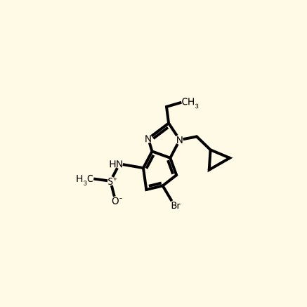 CCc1nc2c(N[S+](C)[O-])cc(Br)cc2n1CC1CC1